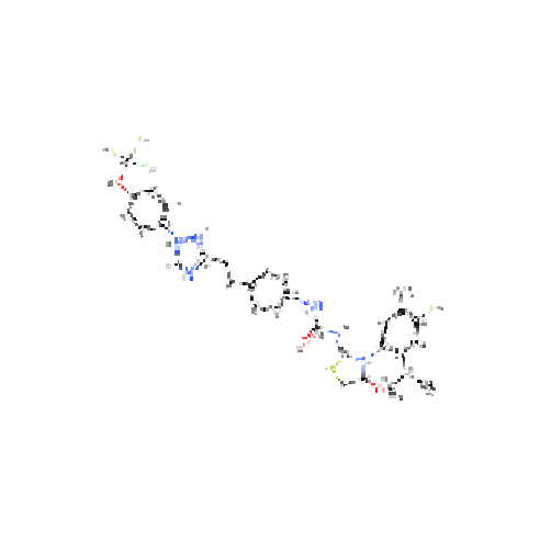 Cc1cc(N2C(=O)CS/C2=N\C(=O)Nc2ccc(CCc3ncn(-c4ccc(OC(F)(F)F)cc4)n3)cc2)c(C(C)C)cc1F